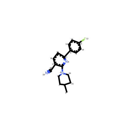 CC1CCN(c2nc(-c3ccc(F)cc3)ccc2C#N)CC1